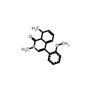 COc1ccccc1C1=CN(C)C(=O)C2C1=CC=CC2C